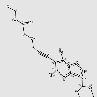 CCOC(=O)COCC#Cc1c(Cl)cc2c(cnn2C2CCCCO2)c1Br